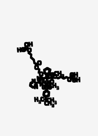 COc1ccccc1Oc1c(OCCOC(=O)CCCCCON(O)O)nc(-c2ncccn2)nc1N(C(C)(C)OC(=O)OCCCCON(O)O)S(=O)(=O)c1ccc(C(C)(C)C)cc1